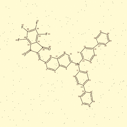 O=C1C(=Cc2ccc3cc(N(c4ccc(-c5ccccc5)cc4)c4ccc(-c5ccccc5)cc4)ccc3c2)C(=O)c2c(F)c(F)c(F)c(F)c21